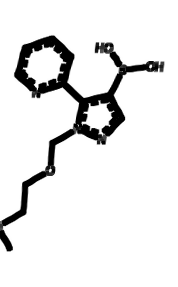 C[Si](C)(C)CCOCn1ncc(B(O)O)c1-c1ccccn1